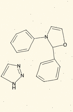 C1=CN(c2ccccc2)C(c2ccccc2)O1.c1c[nH]nn1